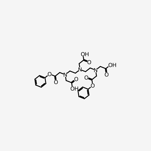 O=C(O)CN(CCN(CC(=O)O)CC(=O)Oc1ccccc1)CCN(CC(=O)O)CC(=O)Oc1ccccc1